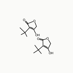 CC(C)(C)C1=C(O)COC1=O.CC(C)(C)C1=C(O)COC1=O